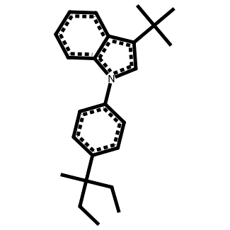 CCC(C)(CC)c1ccc(-n2cc(C(C)(C)C)c3ccccc32)cc1